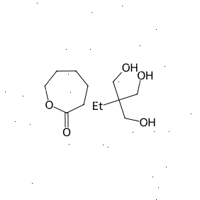 CCC(CO)(CO)CO.O=C1CCCCCO1